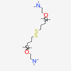 CN(C)CCO[Si](C)(C)CCCSSCCC[Si](C)(C)OCCN(C)C